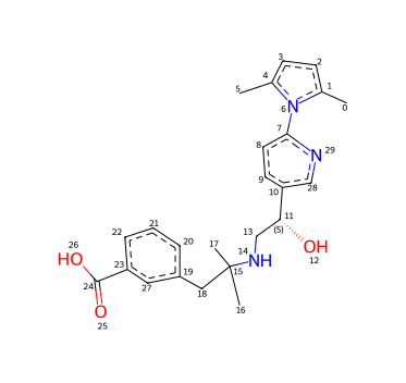 Cc1ccc(C)n1-c1ccc([C@H](O)CNC(C)(C)Cc2cccc(C(=O)O)c2)cn1